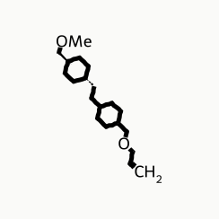 C=CCOCC1CCC(CC[C@H]2CC[C@H](COC)CC2)CC1